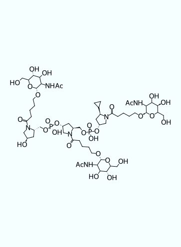 CC(=O)NC1C(O)[C@@H](O)C(CO)O[C@H]1OCCCCC(=O)N1C[C@H](O)C[C@H]1COP(=O)(O)O[C@@H]1C[C@@H](COP(=O)(O)O[C@@H]2C[C@@H](C3CC3)N(C(=O)CCCCO[C@@H]3OC(CO)[C@H](O)C(O)C3NC(C)=O)C2)N(C(=O)CCCCO[C@@H]2OC(CO)[C@H](O)C(O)C2NC(C)=O)C1